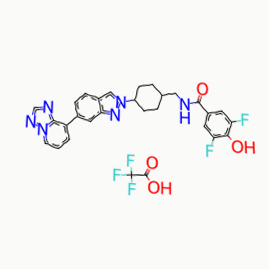 O=C(NCC1CCC(n2cc3ccc(-c4cccn5ncnc45)cc3n2)CC1)c1cc(F)c(O)c(F)c1.O=C(O)C(F)(F)F